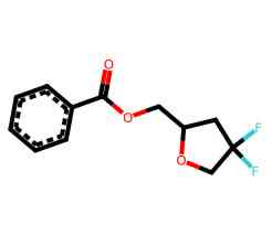 O=C(OCC1CC(F)(F)CO1)c1ccccc1